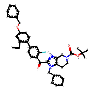 CCc1cc(OCc2ccccc2)ccc1-c1ccc(C(=O)c2nc3c(n2Cc2ccccc2)CCN(C(=O)OC(C)(C)C)C3)c(F)c1